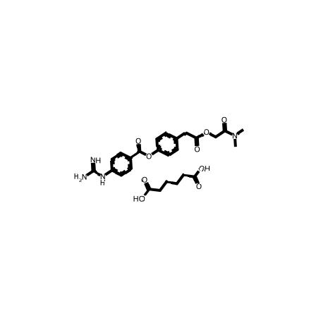 CN(C)C(=O)COC(=O)Cc1ccc(OC(=O)c2ccc(NC(=N)N)cc2)cc1.O=C(O)CCCCC(=O)O